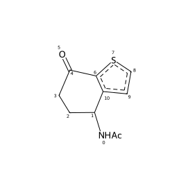 CC(=O)NC1CCC(=O)c2sccc21